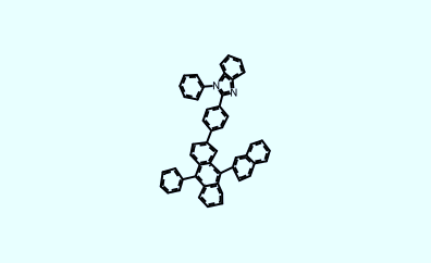 c1ccc(-c2c3ccccc3c(-c3ccc4ccccc4c3)c3cc(-c4ccc(-c5nc6ccccc6n5-c5ccccc5)cc4)ccc23)cc1